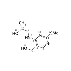 CSc1ncc(CO)c(NC[C@@H](C)O)n1